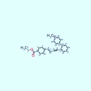 CCOC(=O)c1ccc(/C=C/C#Cc2ccccc2-c2ccc(C)cc2)cc1